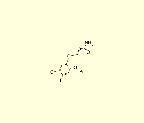 CC(C)Oc1cc(F)c(Cl)cc1C1CC1COC(N)=O